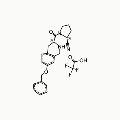 N#C[C@@H]1CCCN1C(=O)[C@@H]1Cc2ccc(OCc3ccccc3)cc2CN1.O=C(O)C(F)(F)F